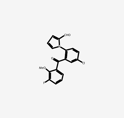 COc1c(F)cccc1C(=O)c1cc(Cl)ccc1-n1cccc1C=O